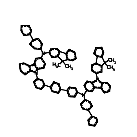 CC1(C)c2ccccc2-c2ccc(N(c3ccc(-c4ccccc4)cc3)c3ccc4c(c3)c3ccccc3n4-c3cccc(-c4ccc(-c5ccc(N(c6ccc(-c7ccccc7)cc6)c6ccc7c(c6)c6ccccc6n7-c6ccc7c(c6)C(C)(C)c6ccccc6-7)cc5)cc4)c3)cc21